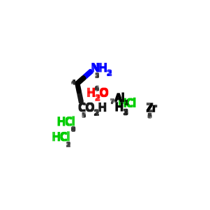 Cl.Cl.Cl.NCC(=O)O.O.[AlH3].[Zr]